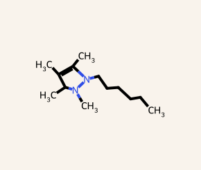 CCCCCCN1C(C)=C(C)C(C)N1C